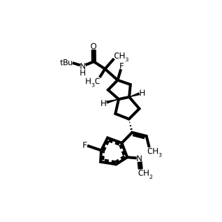 C=Nc1ccc(F)cc1/C(=C\C)[C@@H]1C[C@@H]2CC(F)(C(C)(C)C(=O)NC(C)(C)C)C[C@@H]2C1